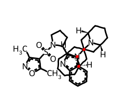 Cc1noc(C)c1S(=O)(=O)N1CCCC1c1nc2ccccc2n1C1C[C@H]2CCC[C@@H](C1)N2C1C[C@H]2CCCC[C@@H](C1)C2